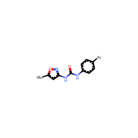 CC(=O)c1ccc(NC(=O)Nc2cc(C(C)(C)C)on2)cc1